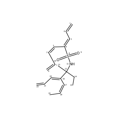 C=C/C=C\C(=C/C=C)S(=O)(=O)NC(C)(CC)C(/C=C\C)=C/C=C